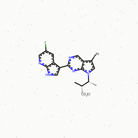 CCOC(=O)[C@H](C)[C@@H](C)n1cc(C(C)C)c2cnc(-c3c[nH]c4ncc(F)cc34)nc21